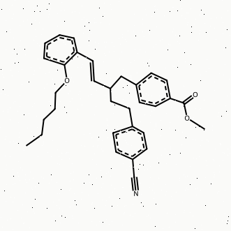 CCCCCOc1ccccc1C=CC(CCc1ccc(C#N)cc1)Cc1ccc(C(=O)OC)cc1